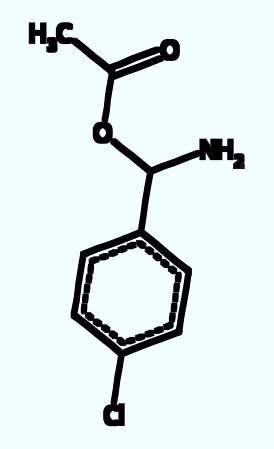 CC(=O)OC(N)c1ccc(Cl)cc1